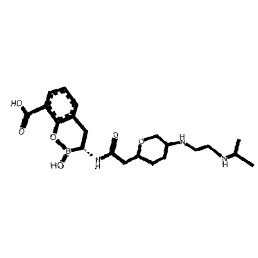 CC(C)NCCNC1CCC(CC(=O)N[C@H]2Cc3cccc(C(=O)O)c3OB2O)OC1